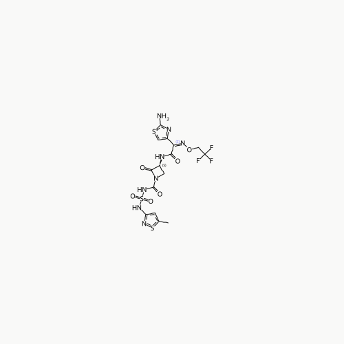 Cc1cc(NS(=O)(=O)NC(=O)N2C[C@H](NC(=O)/C(=N\OCC(F)(F)F)c3csc(N)n3)C2=O)ns1